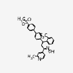 Cc1cc(/C(CC(c2ccc(-c3ccc(S(C)(=O)=O)cc3)cc2)c2ccccc2C(F)(F)F)=N\O)ccn1